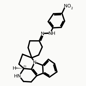 O=[N+]([O-])c1ccc(NN=C2CCC3(CC2)CC[C@@H]2NCCc4c2n3c2ccccc42)cc1